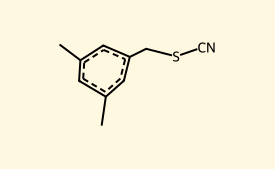 Cc1cc(C)cc(CSC#N)c1